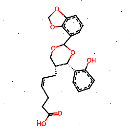 O=C(O)CC/C=C\C[C@@H]1COC(c2cccc3c2OCO3)O[C@@H]1c1ccccc1O